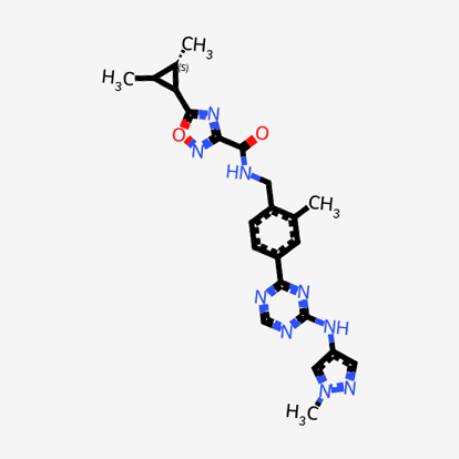 Cc1cc(-c2ncnc(Nc3cnn(C)c3)n2)ccc1CNC(=O)c1noc(C2C(C)[C@@H]2C)n1